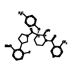 CCC[C@H]1N(C(=O)c2cnccc2C(F)(F)F)CCC[C@@]1(Oc1ccc(C(F)(F)F)cc1)C(=O)N1CCC(c2c(F)cccc2OC)C1